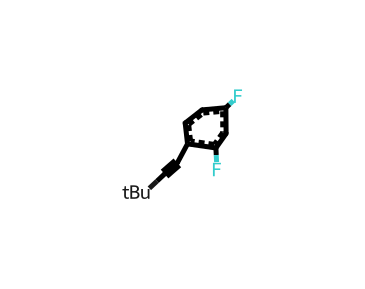 CC(C)(C)C#Cc1ccc(F)cc1F